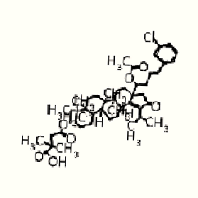 CC(=O)O[C@@H](CCCc1cccc(Cl)c1)[C@@]12CC[C@]3(C)[C@H](CC[C@@H]4[C@@]5(C)CC[C@H](OC(=O)CC(C)(C)C(=O)O)C(C)(C)[C@@H]5CC[C@]43C)C1=C(C(C)C)C(=O)C2